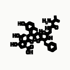 CC(C)[C@H](N)C(=O)NCC(=O)N[C@@H](Cc1ccccc1)C(=O)N[C@@H](Cc1ccc(O)cc1)C(=O)N[C@@H](CC(=O)O)C(=O)N1C[C@H](O)C[C@H]1C(=O)O